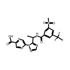 CC(NC(=O)c1cc(C(F)(F)F)cc(S(C)(=O)=O)c1)c1ncnn1-c1cnc(C(=O)O)cn1